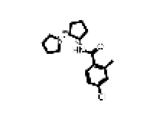 Cc1cc(Cl)ccc1C(=O)N[C@H]1CCC[C@H]1N1CCCC1